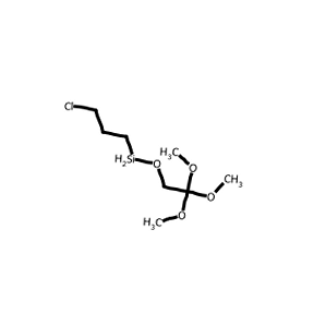 COC(CO[SiH2]CCCCl)(OC)OC